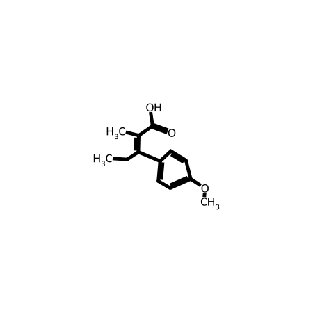 CC/C(=C(\C)C(=O)O)c1ccc(OC)cc1